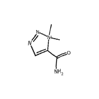 C[N+]1(C)N=NC=C1C(N)=O